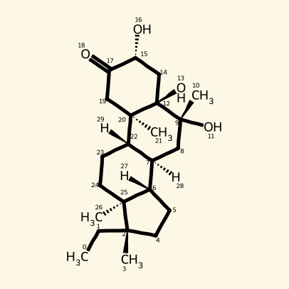 CC[C@@]1(C)CC[C@H]2[C@@H]3C[C@@](C)(O)[C@@]4(O)C[C@@H](O)C(=O)C[C@]4(C)[C@H]3CC[C@@]21C